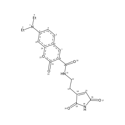 CCN(CC)c1ccc2cc(C(=O)NCCC3=CC(=O)NC3=O)c(=O)oc2c1